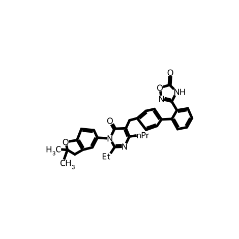 CCCc1nc(CC)n(-c2ccc3c(c2)CC(C)(C)O3)c(=O)c1Cc1ccc(-c2ccccc2-c2noc(=O)[nH]2)cc1